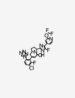 O=C1C=C(c2c(-n3cnnn3)ccc(Cl)c2F)CC2CCC(c3nc(-c4ccnc(OC(F)F)c4)c(F)[nH]3)N12